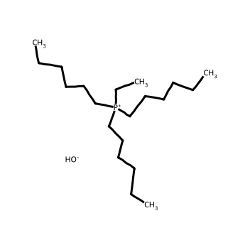 CCCCCC[P+](CC)(CCCCCC)CCCCCC.[OH-]